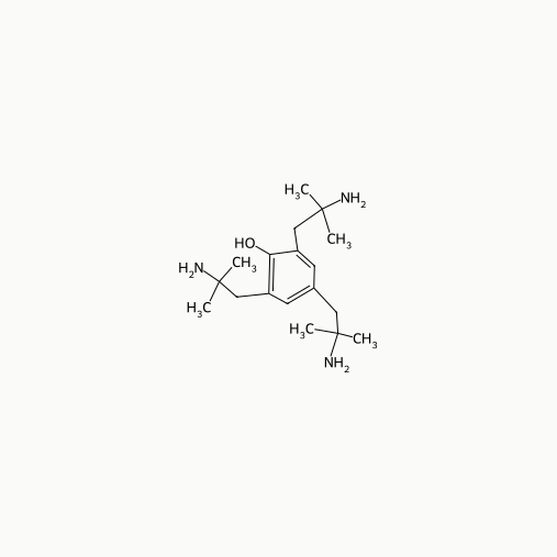 CC(C)(N)Cc1cc(CC(C)(C)N)c(O)c(CC(C)(C)N)c1